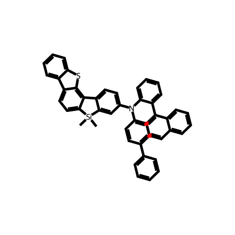 C[Si]1(C)c2cc(N(c3ccc(-c4ccccc4)cc3)c3ccccc3-c3cccc4ccccc34)ccc2-c2c1ccc1c2sc2ccccc21